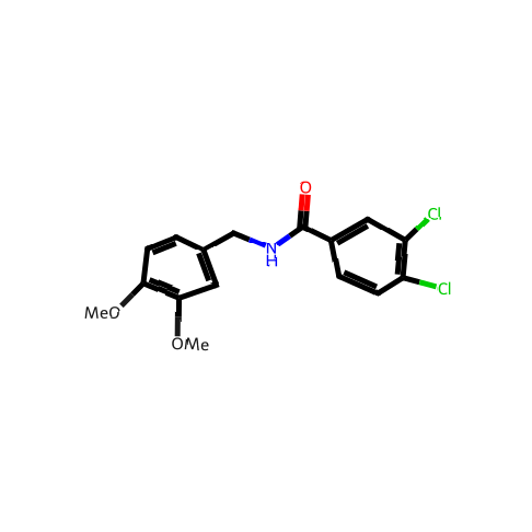 COc1ccc(CNC(=O)c2ccc(Cl)c(Cl)c2)cc1OC